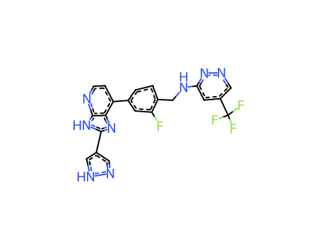 Fc1cc(-c2ccnc3[nH]c(-c4cn[nH]c4)nc23)ccc1CNc1cc(C(F)(F)F)cnn1